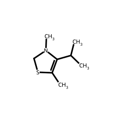 CC1=C(C(C)C)N(C)CS1